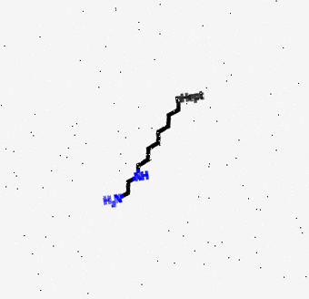 CCCCCCCCCCCCCCCNCCN